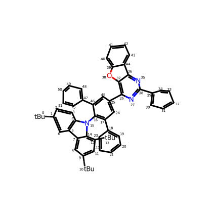 CC(C)(C)c1ccc2c(c1)c1cc(C(C)(C)C)cc(C(C)(C)C)c1n2-c1c(-c2ccccc2)cc(-c2nc(-c3ccccc3)nc3c2oc2ccccc23)cc1-c1ccccc1